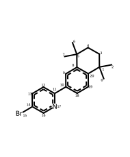 CC1(C)CCC(C)(C)c2cc(-c3ccc(Br)cn3)ccc21